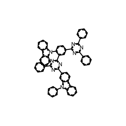 c1ccc(-c2nc(-c3ccccc3)nc(-c3ccc(-n4c5ccccc5c5ccccc54)c(-c4nc(-c5ccccc5)nc(-c5ccc6c7ccccc7n(-c7ccccc7)c6c5)n4)c3)n2)cc1